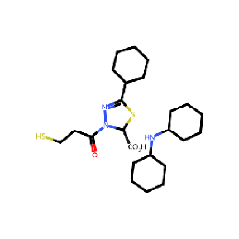 C1CCC(NC2CCCCC2)CC1.O=C(O)C1SC(C2CCCCC2)=NN1C(=O)CCS